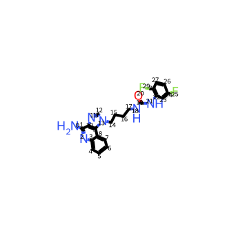 Nc1nc2ccccc2c2c1ncn2CCCCNC(=O)Nc1cc(F)ccc1F